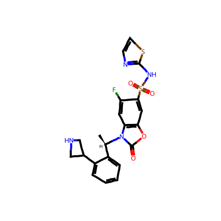 C[C@H](c1ccccc1C1CNC1)n1c(=O)oc2cc(S(=O)(=O)Nc3nccs3)c(F)cc21